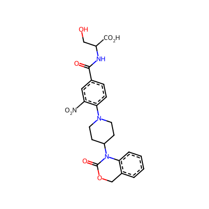 O=C(NC(CO)C(=O)O)c1ccc(N2CCC(N3C(=O)OCc4ccccc43)CC2)c([N+](=O)[O-])c1